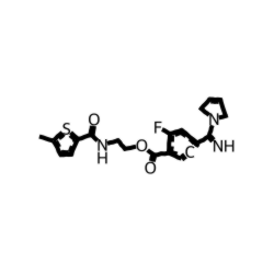 Cc1ccc(C(=O)NCCOC(=O)c2ccc(C(=N)N3CC=CC3)cc2F)s1